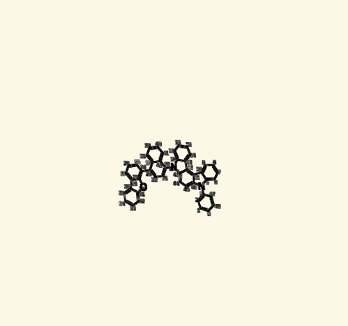 c1ccc(-n2c3ccccc3c3c4c5ccccc5n(-c5ccc(-c6cccc7c6oc6ccccc67)c6ccccc56)c4ccc32)cc1